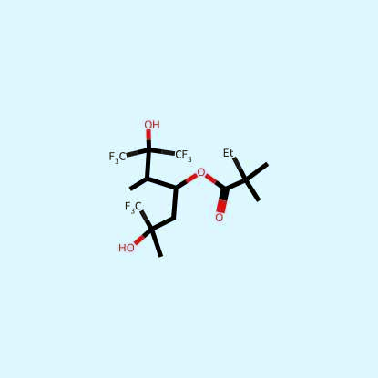 CCC(C)(C)C(=O)OC(CC(C)(O)C(F)(F)F)C(C)C(O)(C(F)(F)F)C(F)(F)F